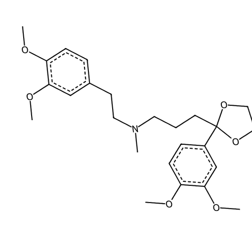 COc1ccc(CCN(C)CCCC2(c3ccc(OC)c(OC)c3)OCCO2)cc1OC